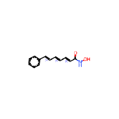 O=C(/C=C/C=C/C=C/c1ccccc1)NO